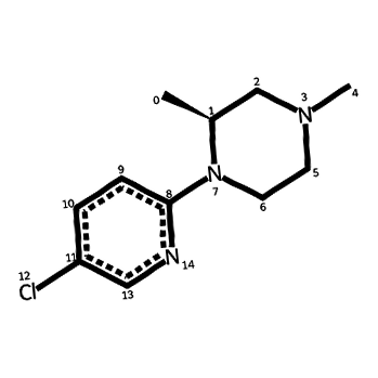 C[C@H]1CN(C)CCN1c1ccc(Cl)cn1